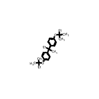 CCC(C)(C)Oc1ccc(C(C)(CC)c2ccc(OC(C)(C)CC)cc2)cc1